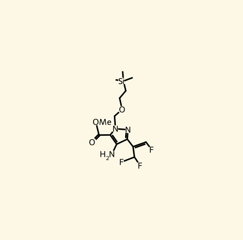 COC(=O)c1c(N)c(C(=CF)C(F)F)nn1COCC[Si](C)(C)C